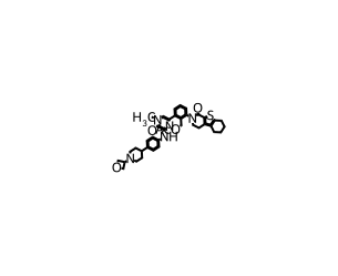 CC(=O)OCc1c(-c2cn(C)c(=O)c(Nc3ccc(C4CCN(C5COC5)CC4)cc3)n2)cccc1N1CCc2c(sc3c2CCCC3)C1=O